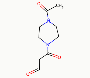 CC(=O)N1CCN(C(=O)C[C]=O)CC1